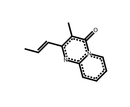 C/C=C/c1nc2ccccn2c(=O)c1C